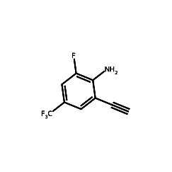 C#Cc1cc(C(F)(F)F)cc(F)c1N